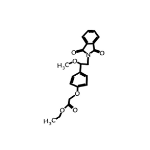 CCOC(=O)COc1ccc(C(CN2C(=O)c3ccccc3C2=O)OC)cc1